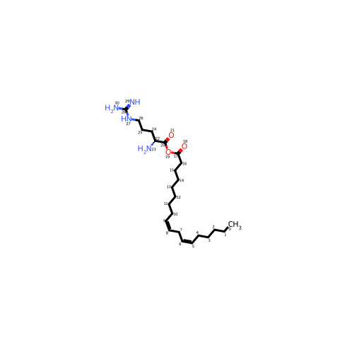 CCCCC/C=C\C/C=C\CCCCCCCC(=O)OC(=O)[C@@H](N)CCCNC(=N)N